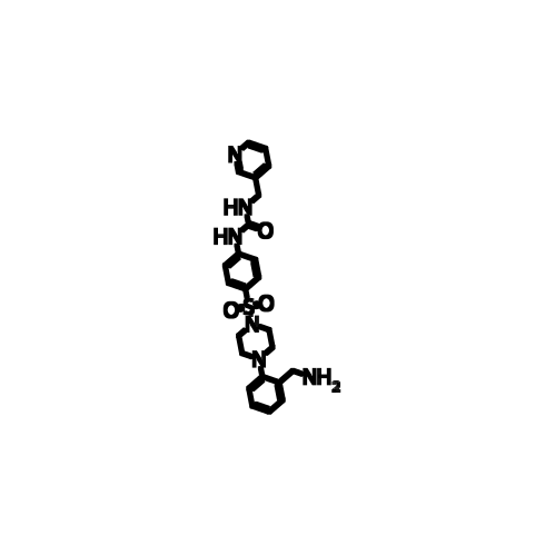 NCc1ccccc1N1CCN(S(=O)(=O)c2ccc(NC(=O)NCc3cccnc3)cc2)CC1